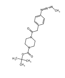 CN=[N+]=Nc1ccc(CC(=O)N2CCN(C(=O)OC(C)(C)C)CC2)cc1